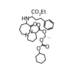 CCOC(=O)[C@H](CCc1ccccc1)NC1CCCN2CCCC(C(=O)O[C@H](C)OC(=O)OC3CCCCC3)N2C1=O